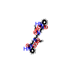 CCOC(=O)N(CCCCN(CCCn1c(=O)[nH]c2ccccc2c1=O)C(=O)OCC)CCCn1c(=O)[nH]c2ccccc2c1=O